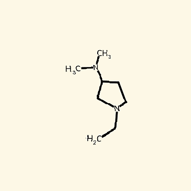 [CH2]CN1CCC(N(C)C)C1